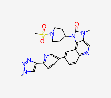 Cn1cc(-c2ccc(-c3ccc4ncc5c(c4c3)n(C3CCN(S(C)(=O)=O)CC3)c(=O)n5C)cn2)nn1